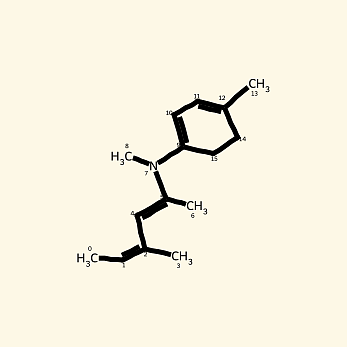 C/C=C(C)\C=C(/C)N(C)C1=CC=C(C)CC1